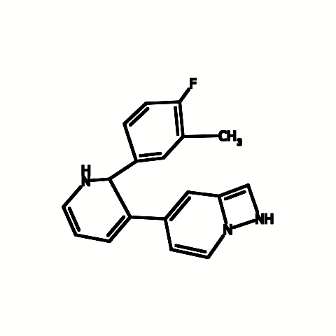 Cc1cc(C2NC=CC=C2c2ccn3[nH]cc3c2)ccc1F